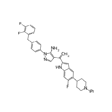 C=C(c1cc2cc(C3CCN(C(C)C)CC3)c(F)cc2[nH]1)c1cnn(-c2ccc(Cc3cccc(F)c3F)cc2)c1N